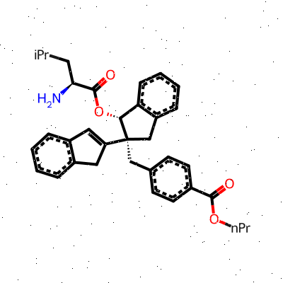 CCCOC(=O)c1ccc(C[C@@]2(C3=Cc4ccccc4C3)Cc3ccccc3[C@H]2OC(=O)[C@@H](N)CC(C)C)cc1